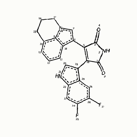 O=C1NC(=O)C(c2cn3c4c(cccc24)CCC3)=C1c1c[nH]c2cc(F)c(F)cc12